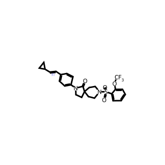 O=C1N(c2ccc(/C=C/C3CC3)cc2)CCC12CCN(S(=O)(=O)c1ccccc1OC(F)(F)F)CC2